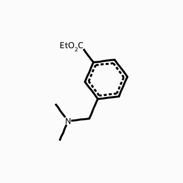 CCOC(=O)c1cccc(CN(C)C)c1